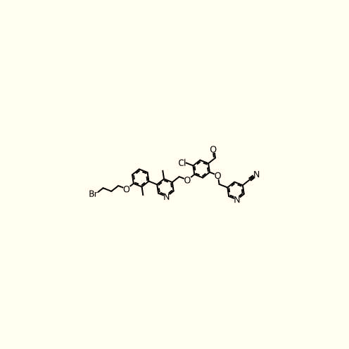 Cc1c(COc2cc(OCc3cncc(C#N)c3)c(C=O)cc2Cl)cncc1-c1cccc(OCCCBr)c1C